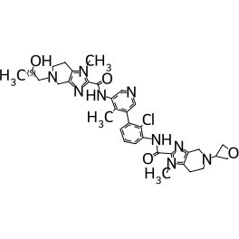 Cc1c(NC(=O)c2nc3c(n2C)CCN(C[C@H](C)O)C3)cncc1-c1cccc(NC(=O)c2nc3c(n2C)CCN(C2COC2)C3)c1Cl